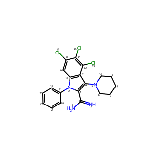 N=C(N)c1c(N2CCCCC2)c2c(Cl)c(Cl)c(Cl)cc2n1-c1ccccc1